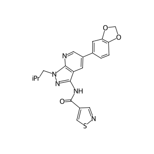 CC(C)Cn1nc(NC(=O)c2cnsc2)c2cc(-c3ccc4c(c3)OCO4)cnc21